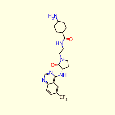 N[C@H]1CC[C@@H](C(=O)NCCN2CC[C@H](Nc3ncnc4ccc(C(F)(F)F)cc34)C2=O)CC1